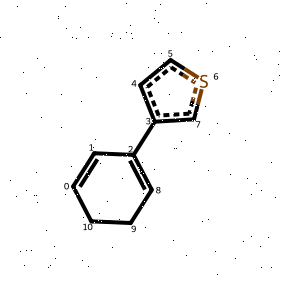 C1=CC(c2ccsc2)=CCC1